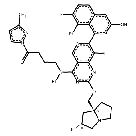 CCc1c(F)ccc2cc(O)cc(-c3ncc4c(N(CC)CCCC(=O)n5ccc(C)n5)nc(OC[C@@]56CCCN5C[C@H](F)C6)nc4c3F)c12